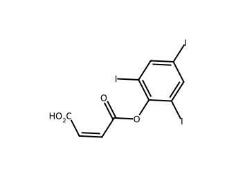 O=C(O)/C=C\C(=O)Oc1c(I)cc(I)cc1I